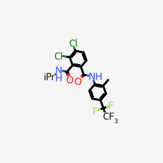 Cc1cc(C(F)(F)C(F)(F)F)ccc1NC(=O)c1ccc(Cl)c(Cl)c1C(=O)NC(C)C